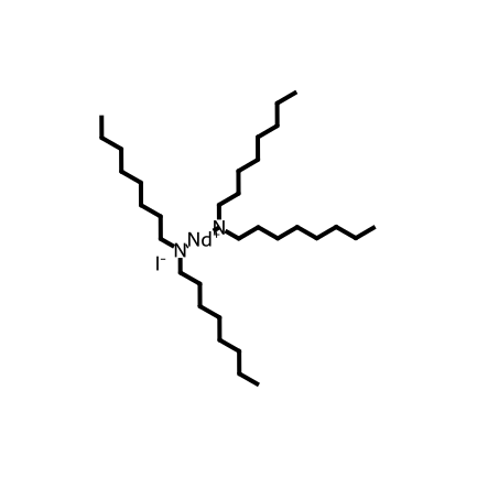 CCCCCCCC[N](CCCCCCCC)[Nd+][N](CCCCCCCC)CCCCCCCC.[I-]